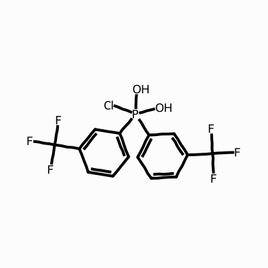 OP(O)(Cl)(c1cccc(C(F)(F)F)c1)c1cccc(C(F)(F)F)c1